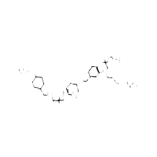 COCCCN1CC(C)(C)Oc2ccc(CO[C@@H]3CC[C@@H](CC(C)(C)C(=O)NCC4CCC(OC)CC4)NC3)cc21